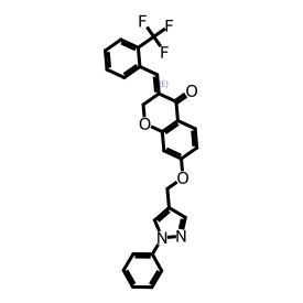 O=C1/C(=C/c2ccccc2C(F)(F)F)COc2cc(OCc3cnn(-c4ccccc4)c3)ccc21